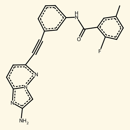 Cc1ccc(F)c(C(=O)Nc2cccc(C#Cc3ccc4nc(N)cn4n3)c2)c1